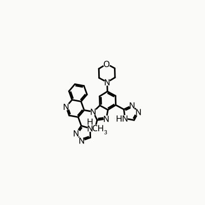 Cc1nc2c(-c3nnc[nH]3)cc(N3CCOCC3)cc2n1-c1c(-c2nnc[nH]2)cnc2ccccc12